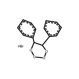 Br.c1ccc(C2OOOOC2c2ccccc2)cc1